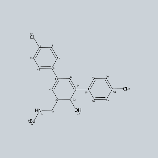 CC(C)(C)NCc1cc(-c2ccc(Cl)cc2)cc(-c2ccc(Cl)cc2)c1O